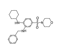 O=S(=O)(c1ccc(NC2CCCCC2)c(NCc2ccccc2)c1)N1CCOCC1